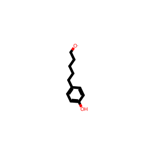 [O]CCCCCc1ccc(O)cc1